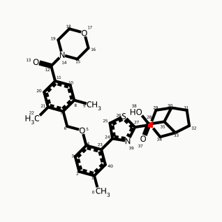 Cc1ccc(OCc2c(C)cc(C(=O)N3CCOCC3)cc2C)c(-c2csc(N3CC4CCC(C3)C4C(=O)O)n2)c1